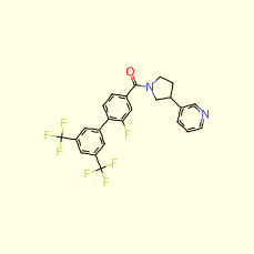 O=C(c1ccc(-c2cc(C(F)(F)F)cc(C(F)(F)F)c2)c(F)c1)N1CCC(c2cccnc2)C1